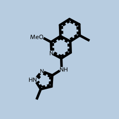 COc1nc(Nc2cc(C)[nH]n2)cc2c(C)cccc12